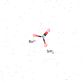 [Ba+2].[O]=[Ti]([O-])[O-].[SrH2]